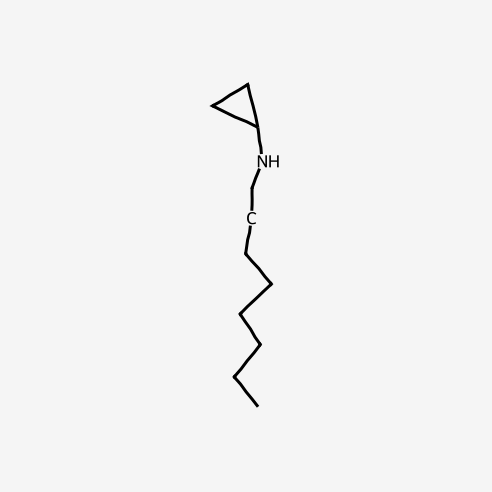 CCCCCCCCNC1CC1